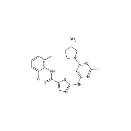 Cc1nc(Nc2ncc(C(=O)Nc3c(C)cccc3Cl)s2)cc(N2CCC(N)C2)n1